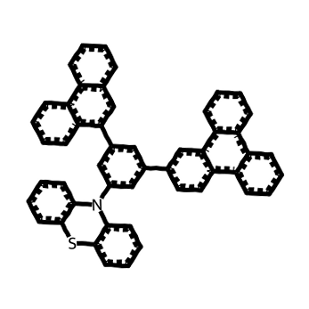 c1ccc2c(c1)Sc1ccccc1N2c1cc(-c2ccc3c4ccccc4c4ccccc4c3c2)cc(-c2cc3ccccc3c3ccccc23)c1